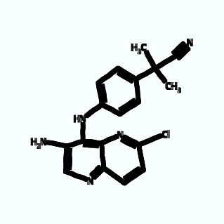 CC(C)(C#N)c1ccc(Nc2c(N)cnc3ccc(Cl)nc23)cc1